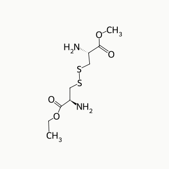 CCOC(=O)[C@H](N)CSSC[C@H](N)C(=O)OC